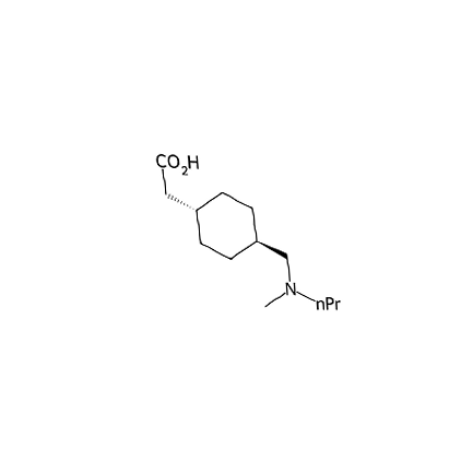 CCCN(C)C[C@H]1CC[C@H](CC(=O)O)CC1